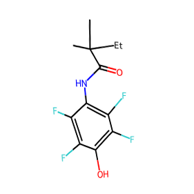 CCC(C)(C)C(=O)Nc1c(F)c(F)c(O)c(F)c1F